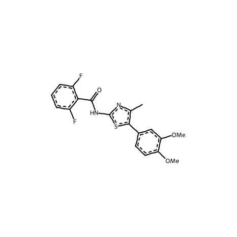 COc1ccc(-c2sc(NC(=O)c3c(F)cccc3F)nc2C)cc1OC